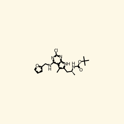 Cc1c(C[C@H](C)NC(=O)OC(C)(C)C)[nH]c2nc(Cl)nc(NCc3ccco3)c12